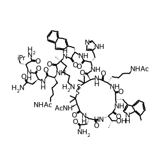 CC(=O)NCCCC[C@@H]1NC(=O)[C@H](Cc2c[nH]c3c(C)cccc23)NC(=O)[C@H]([C@@H](C)O)NC(=O)[C@H](CC(N)=O)NC(=O)[C@@H](NC(C)=O)C(C)(C)SSC(C)(C)[C@@H](C(=O)N[C@@H](Cc2cnc[nH]2)C(=O)N[C@@H](Cc2ccc3ccccc3c2)C(=O)N[C@@](C)(CCCCN)C(=O)N[C@@H](CCCCNC(C)=O)C(=O)N[C@@H](CC(N)=O)C(=O)N[C@H](CC(C)C)C(N)=O)NC1=O